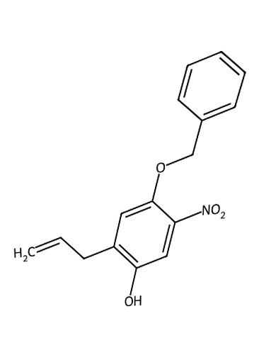 C=CCc1cc(OCc2ccccc2)c([N+](=O)[O-])cc1O